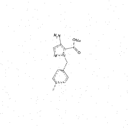 COC(=O)c1c(N)cnn1Cc1ccc(F)cc1